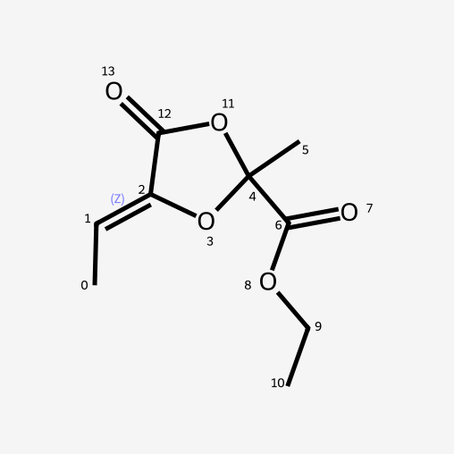 C/C=C1\OC(C)(C(=O)OCC)OC1=O